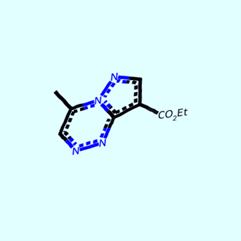 CCOC(=O)c1cnn2c(C)cnnc12